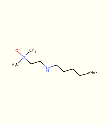 CCCCCCCCCCNCC[N+](C)(C)[O-]